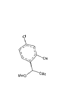 COC(OC)c1ccc(Cl)cc1C#N